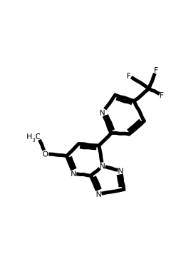 COc1cc(-c2ccc(C(F)(F)F)cn2)n2ncnc2n1